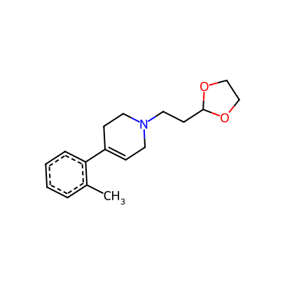 Cc1ccccc1C1=CCN(CCC2OCCO2)CC1